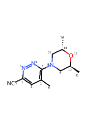 Cc1cc(C#N)nnc1N1C[C@H](C)O[C@@H](C)C1